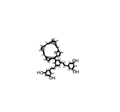 Oc1cc(O)cc(C=Cc2cc(C=Cc3cc(O)cc(O)c3)cc(-c3c4nc(cc5ccc(cc6nc(cc7ccc3[nH]7)C=C6)[nH]5)C=C4)c2)c1